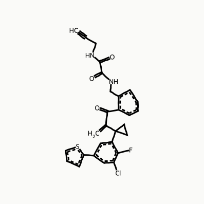 C#CCNC(=O)C(=O)NCc1ccccc1C(=O)C(=C)C1(c2cc(-c3cccs3)cc(Cl)c2F)CC1